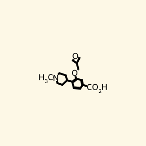 CN1CCC(c2ccc(C(=O)O)cc2OCC2COC2)CC1